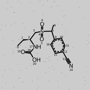 CC[C@@H](CS(=O)(=O)C(C)c1ccc(C#N)cc1)NC(=O)O